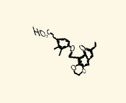 Cc1cc2cc3c(c(COc4ccc(CCC(=O)O)c(C)c4C)c2o1)OCCO3